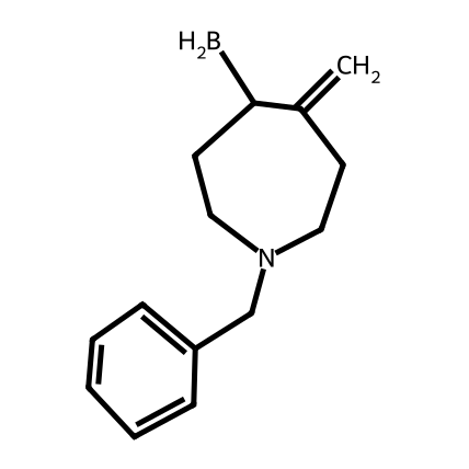 BC1CCN(Cc2ccccc2)CCC1=C